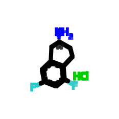 Cl.N[C@@H]1CCc2c(F)cc(F)cc2C1